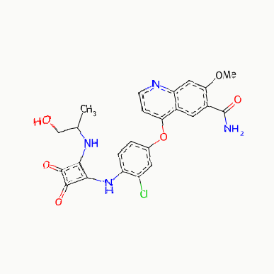 COc1cc2nccc(Oc3ccc(Nc4c(NC(C)CO)c(=O)c4=O)c(Cl)c3)c2cc1C(N)=O